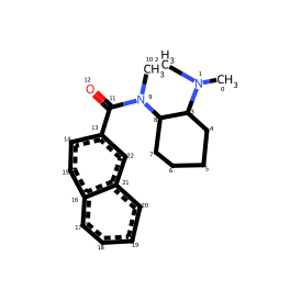 CN(C)C1CCCCC1N(C)C(=O)c1ccc2ccccc2c1